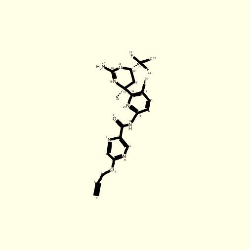 C#CCOc1cnc(C(=O)Nc2ccc(F)c([C@]3(C)C[C@@H](C(F)(F)F)OC(N)=N3)n2)cn1